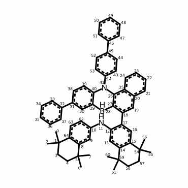 CC1(C)CCC(C)(C)c2cc(Nc3cc4c(cc3-c3cc5ccccc5c5c3Bc3cc(-c6ccccc6)ccc3N5c3ccc(-c5ccccc5)cc3)C(C)(C)CCC4(C)C)ccc21